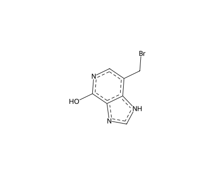 Oc1ncc(CBr)c2[nH]cnc12